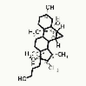 C[C@H]1C2C3C(CC[C@]2(C)[C@](O)(CCCO)[C@H]1C)[C@@]1(C)CC[C@H](O)C[C@@]1(O)[C@@H]1C[C@H]31